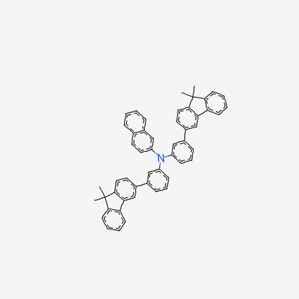 CC1(C)c2ccccc2-c2cc(-c3cccc(N(c4cccc(-c5ccc6c(c5)-c5ccccc5C6(C)C)c4)c4ccc5ccccc5c4)c3)ccc21